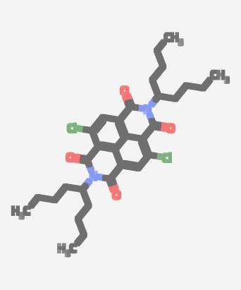 CCCCC(CCCC)N1C(=O)c2cc(Cl)c3c4c(cc(Cl)c(c24)C1=O)C(=O)N(C(CCCC)CCCC)C3=O